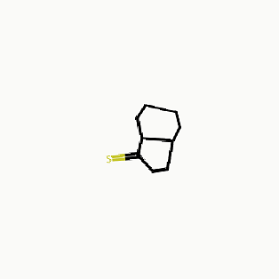 S=C1CCC2CCCCC12